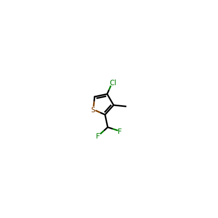 Cc1c(Cl)csc1C(F)F